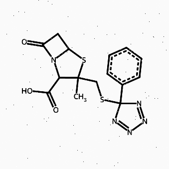 CC1(CSC2(c3ccccc3)N=NN=N2)SC2CC(=O)N2C1C(=O)O